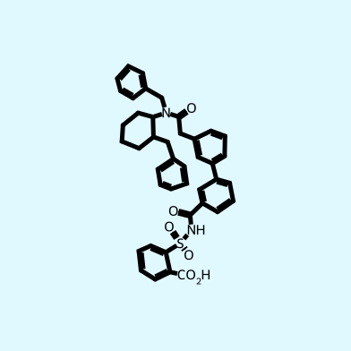 O=C(NS(=O)(=O)c1ccccc1C(=O)O)c1cccc(-c2cccc(CC(=O)N(Cc3ccccc3)C3CCCCC3Cc3ccccc3)c2)c1